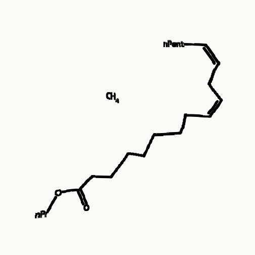 C.CCCCC/C=C\C/C=C\CCCCCCCC(=O)OCCC